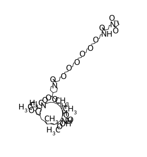 COc1cc2cc(c1Cl)N(C)C(=O)C[C@H](OC(=O)C1CCN(C(=O)CCOCCOCCOCCOCCOCCOCCNC(=O)CCN3C(=O)C=CC3=O)CC1)[C@@]1(C)C[C@H]1[C@H](C)[C@@H]1C[C@@](O)(NC(=O)O1)C(OC)/C=C/C=C(\C)C2